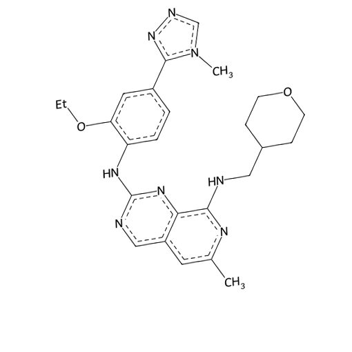 CCOc1cc(-c2nncn2C)ccc1Nc1ncc2cc(C)nc(NCC3CCOCC3)c2n1